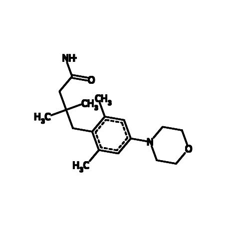 Cc1cc(N2CCOCC2)cc(C)c1CC(C)(C)CC([NH])=O